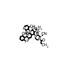 C=CC(=O)N1CCN(c2c(S(C)(=O)=O)c(=O)n(-c3c(C)ccnc3C(C)C)c3nc(-c4c(O)cccc4F)c(F)cc23)C[C@@H]1CC#N